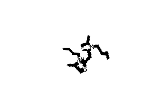 CCCCN1C(C)=CS/C1=C\c1scc(C)[n+]1CCCC